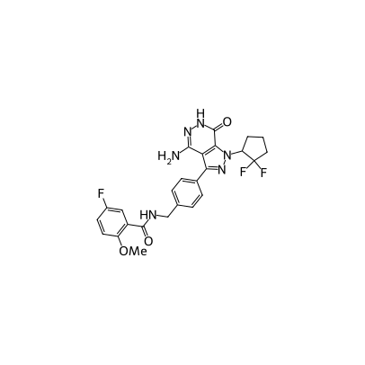 COc1ccc(F)cc1C(=O)NCc1ccc(-c2nn(C3CCCC3(F)F)c3c(=O)[nH]nc(N)c23)cc1